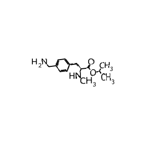 CN[C@@H](Cc1ccc(CN)cc1)C(=O)OC(C)C